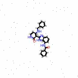 O=C(Nc1cccc2nc(-c3c(NCc4ccccc4)cc[nH]c3=O)[nH]c12)c1ccccc1